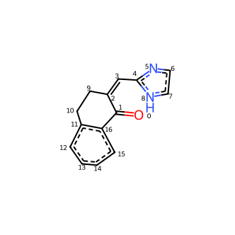 O=C1C(=Cc2ncc[nH]2)CCc2ccccc21